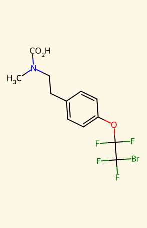 CN(CCc1ccc(OC(F)(F)C(F)(F)Br)cc1)C(=O)O